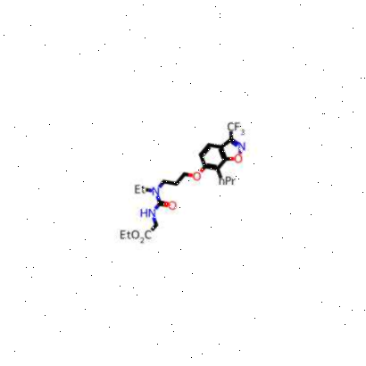 CCCc1c(OCCCN(CC)C(=O)NCC(=O)OCC)ccc2c(C(F)(F)F)noc12